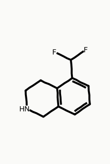 FC(F)c1cccc2c1CCNC2